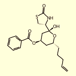 C=CCCC[C@@H]1C[C@@H](OC(=O)c2ccccc2)C[C@](O)([C@@H]2CSC(=O)N2)O1